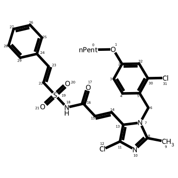 CCCCCOc1ccc(Cn2c(C)nc(Cl)c2C=CC(=O)NS(=O)(=O)C=Cc2ccccc2)c(Cl)c1